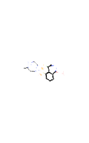 CC1CCN(S(=O)(=O)c2cccc3c(O)ncc(F)c23)CCN1